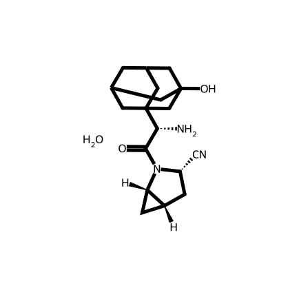 N#C[C@@H]1C[C@@H]2C[C@@H]2N1C(=O)[C@@H](N)C12CC3CC(CC(O)(C3)C1)C2.O